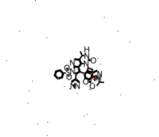 COC(=O)NC1CC(N2C(=O)NC(C)c3cnc4c(c(-c5ccc6c(cnn6C(C)C)c5)c(-c5cnn(C)c5)n4S(=O)(=O)c4ccccc4)c32)C1